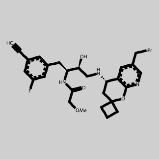 C#Cc1cc(F)cc(C[C@H](NC(=O)COC)[C@@H](O)CN[C@H]2CC3(CCC3)Oc3ncc(CC(C)C)cc32)c1